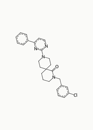 O=C1N(Cc2cccc(Cl)c2)CCCC12CCN(c1nccc(-c3ccccc3)n1)CC2